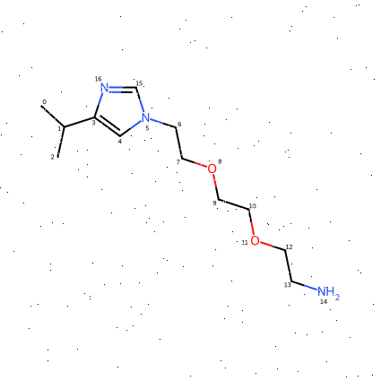 CC(C)c1cn(CCOCCOCCN)cn1